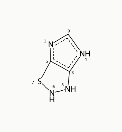 c1nc2c([nH]1)NNS2